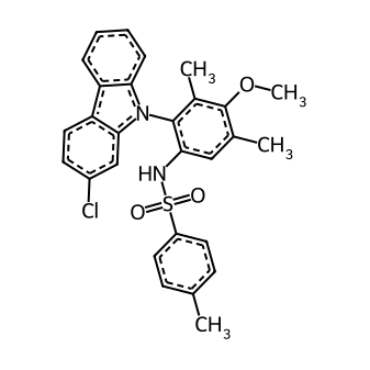 COc1c(C)cc(NS(=O)(=O)c2ccc(C)cc2)c(-n2c3ccccc3c3ccc(Cl)cc32)c1C